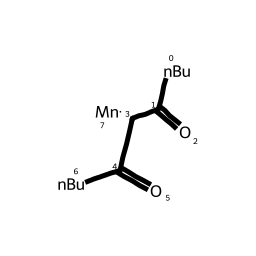 CCCCC(=O)CC(=O)CCCC.[Mn]